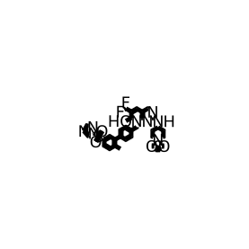 Cc1ccc(S(=O)(=O)n2cncn2)cc1-c1ccc(CN2c3nc(NC4CCN(S(C)(=O)=O)CC4)ncc3C=C(C(F)F)C2O)cc1